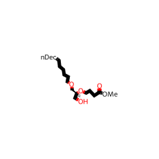 CCCCCCCCCCCCCCCCOC[C@H](CO)OCCCC(=O)OC